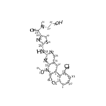 COn1c(=O)c(-c2c(Cl)cccc2Cl)cc2cnc(Nc3nc(C(=O)N(C)CCO)cs3)nc21